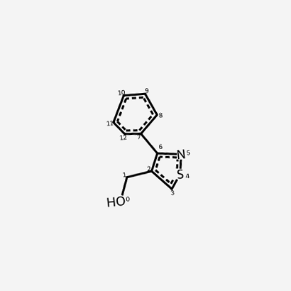 OCc1csnc1-c1ccccc1